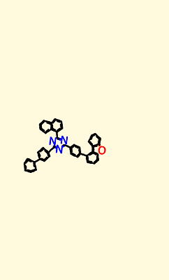 c1ccc(-c2ccc(-c3nc(-c4ccc(-c5cccc6oc7ccccc7c56)cc4)nc(-c4cccc5ccccc45)n3)cc2)cc1